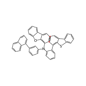 c1cc(-c2cccc3ccccc23)cc(N(c2ccccc2-c2cccc3c2sc2ccccc23)c2cccc3c2oc2ccccc23)c1